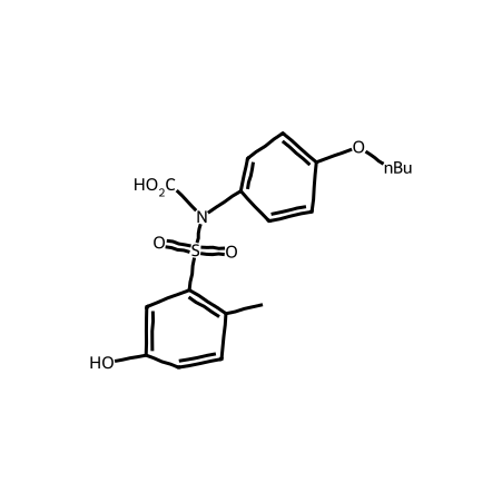 CCCCOc1ccc(N(C(=O)O)S(=O)(=O)c2cc(O)ccc2C)cc1